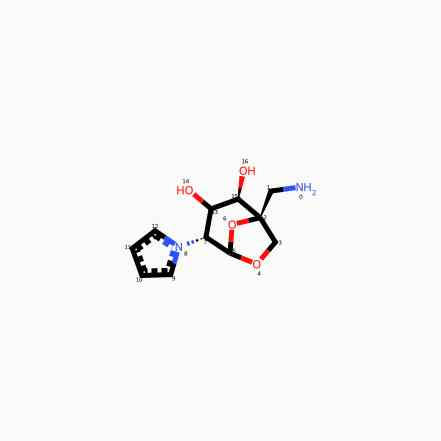 NC[C@@]12COC(O1)[C@H](n1cccc1)C(O)[C@H]2O